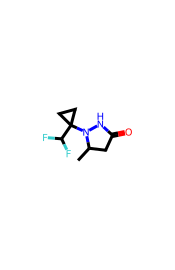 CC1CC(=O)NN1C1(C(F)F)CC1